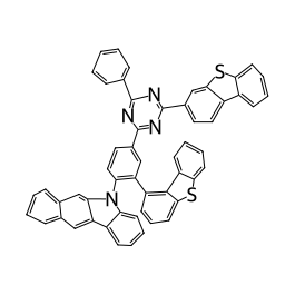 c1ccc(-c2nc(-c3ccc(-n4c5ccccc5c5cc6ccccc6cc54)c(-c4cccc5sc6ccccc6c45)c3)nc(-c3ccc4c(c3)sc3ccccc34)n2)cc1